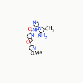 COc1ccc(-c2cc3nc(C(=O)Nc4cnccc4N4C[C@H](C)C[C@H](N)C4)ccc3o2)cn1